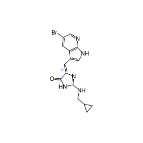 O=C1NC(NCC2CC2)=N/C1=C\c1c[nH]c2ncc(Br)cc12